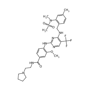 COc1cc(C(=O)NCCN2CCCC2)ccc1Nc1ncc(C(F)(F)F)c(NCc2ccc(C)cc2N(C)S(C)(=O)=O)n1